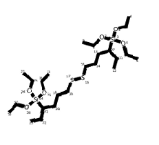 CCO[Si](OCC)(OCC)C(CC)CCCSSCCCC(CC)[Si](OCC)(OCC)OCC